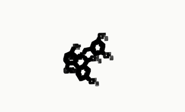 COc1ccc(C(C)C)cc1-c1ccc(C(F)(F)F)cc1C(C)N(Cc1cc(C(F)(F)F)cc(C(F)(F)F)c1)C(=O)O